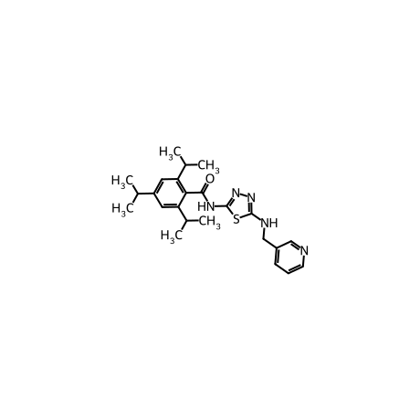 CC(C)c1cc(C(C)C)c(C(=O)Nc2nnc(NCc3cccnc3)s2)c(C(C)C)c1